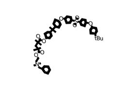 CC(C)(CC(C)(C)C(=O)Oc1ccc(C(C)(C)c2ccc(Oc3ccc(S(=O)(=O)c4ccc(Oc5ccc(C(C)(C)C)cc5)cc4)cc3)cc2)cc1)C(=O)OCC[N+](C)(C)Cc1ccccc1